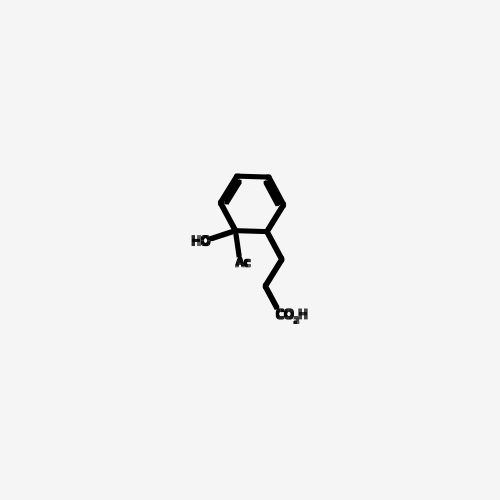 CC(=O)C1(O)C=CC=CC1CCC(=O)O